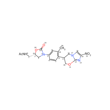 CC(=O)NC[C@H]1CN(c2ccc(C3COc4nc([N+](=O)[O-])cn4C3)c(C)c2)C(=O)O1